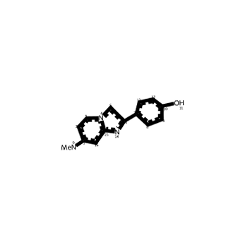 CNc1ccn2cc(-c3ccc(O)cc3)nc2c1